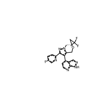 Fc1ccc(-c2nn3c(c2-c2ccnc4[nH]ncc24)CO[C@@]2(C3)CC2(F)F)nc1